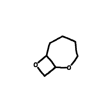 C1CCC2OCC2OC1